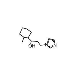 CC1CCCCC1C(O)CCn1ccnc1